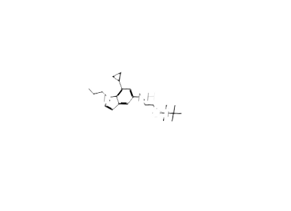 CCCn1ccc2cc(NCCO[Si](C)(C)C(C)(C)C)cc(C3CC3)c21